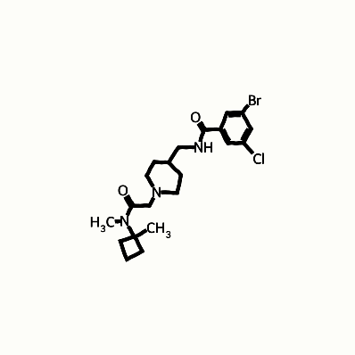 CN(C(=O)CN1CCC(CNC(=O)c2cc(Cl)cc(Br)c2)CC1)C1(C)CCC1